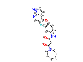 O=C(CC(=O)N1CCCCCC1)Nc1ccc(Oc2ccnc3[nH]ccc23)c(F)c1